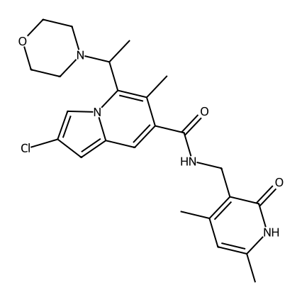 Cc1cc(C)c(CNC(=O)c2cc3cc(Cl)cn3c(C(C)N3CCOCC3)c2C)c(=O)[nH]1